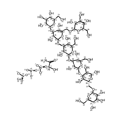 NC(=O)NO.O=[N+]([O-])[O-].O=[N+]([O-])[O-].O=[N+]([O-])[O-].OC[C@H]1O[C@@H](OC[C@H]2O[C@@H](O)[C@H](O)[C@@H](O[C@@H]3O[C@H](CO)[C@@H](O)[C@H](O[C@@H]4O[C@H](CO)[C@@H](O)[C@H](O[C@@H]5O[C@H](CO[C@@H]6O[C@H](CO)[C@@H](O)[C@H](O)[C@H]6O)[C@@H](O)[C@H](O[C@@H]6O[C@H](CO)[C@@H](O)[C@H](O)[C@H]6O)[C@H]5O)[C@H]4O)[C@H]3O)[C@@H]2O)[C@H](O)[C@@H](O)[C@@H]1O.[Ga+3]